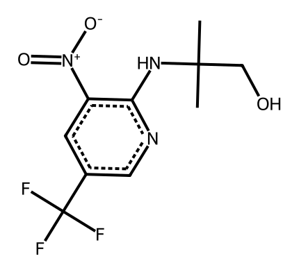 CC(C)(CO)Nc1ncc(C(F)(F)F)cc1[N+](=O)[O-]